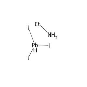 CCN.[I][PbH]([I])[I]